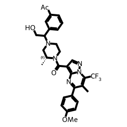 COc1ccc(-c2nc3c(C(=O)N4CCN(C(CO)c5cccc(C(C)=O)c5)C[C@H]4C)cnn3c(C(F)(F)F)c2C)cc1